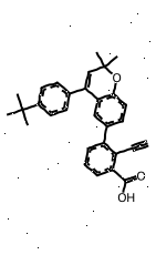 C#Cc1c(C(=O)O)cccc1-c1ccc2c(c1)C(c1ccc(C(C)(C)C)cc1)=CC(C)(C)O2